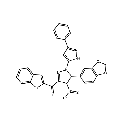 O=C(C1=NN(c2cc(-c3ccccc3)n[nH]2)C(c2ccc3c(c2)OCO3)C1[N+](=O)[O-])c1cc2ccccc2o1